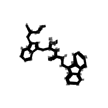 CC(C)(C)OC(=O)Cc1nc(CC(NC(=O)OCC2c3ccccc3-c3ccccc32)C(=O)O)n2ccccc12